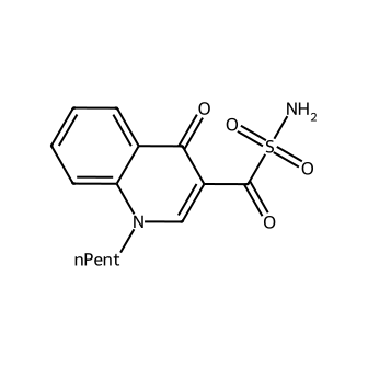 CCCCCn1cc(C(=O)S(N)(=O)=O)c(=O)c2ccccc21